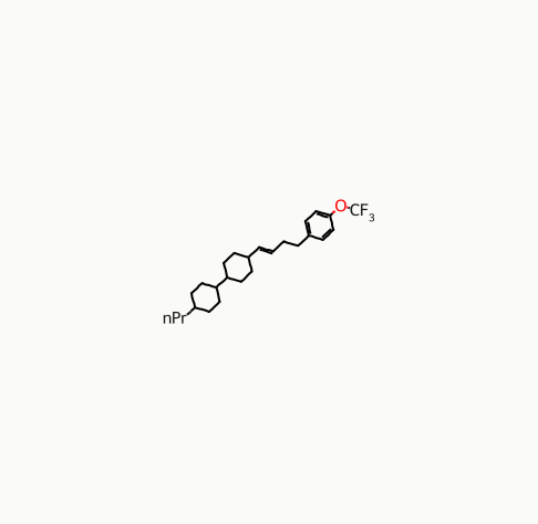 CCCC1CCC(C2CCC(C=CCCc3ccc(OC(F)(F)F)cc3)CC2)CC1